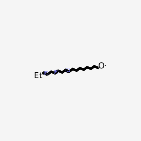 CC/C=C/C/C=C/C/C=C/CCCCCCCC[O]